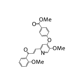 COC(=O)c1ccc(Oc2cc(/C=C/C(=O)c3ccccc3OC)ncc2OC)cc1